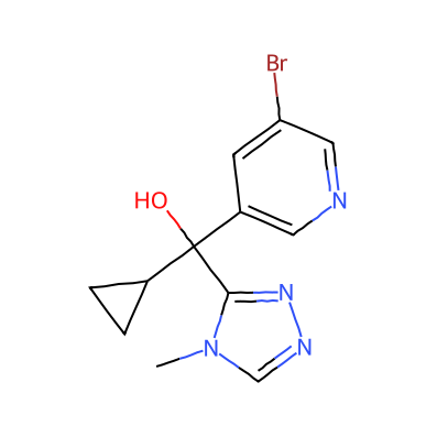 Cn1cnnc1C(O)(c1cncc(Br)c1)C1CC1